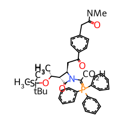 CNC(=O)Cc1ccc(C(=O)C[C@@H]2[C@@H]([C@@H](C)O[Si](C)(C)C(C)(C)C)C(=O)N2C(C(=O)O)=P(c2ccccc2)(c2ccccc2)c2ccccc2)cc1